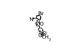 CS(=O)(=O)N1CCC(N2CCN(c3ccc(Br)cc3C#N)C2=O)CC1